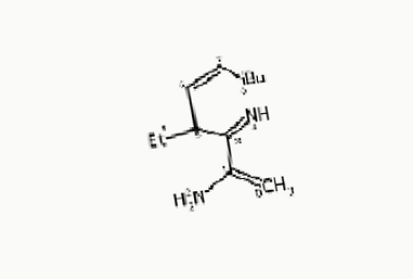 C=C(N)C(=N)C(/C=C\C(C)CC)CC